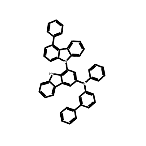 c1ccc(-c2cccc(N(c3ccccc3)c3cc(-n4c5ccccc5c5c(-c6ccccc6)cccc54)c4[nH]c5ccccc5c4c3)c2)cc1